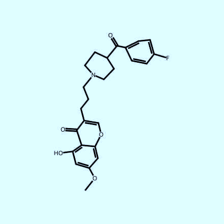 COc1cc(O)c2c(=O)c(CCCN3CCC(C(=O)c4ccc(F)cc4)CC3)coc2c1